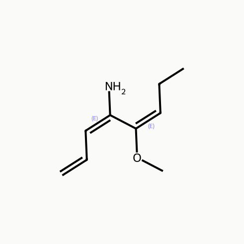 C=C/C=C(N)\C(=C/CC)OC